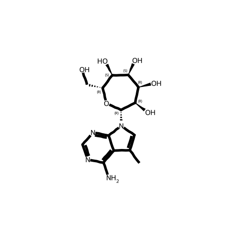 Cc1cn([C@@H]2O[C@H](CO)[C@@H](O)[C@@H](O)[C@@H](O)[C@H]2O)c2ncnc(N)c12